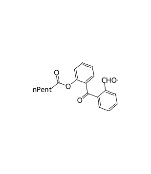 CCCCCC(=O)Oc1ccccc1C(=O)c1ccccc1[C]=O